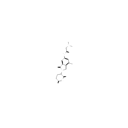 CN(C)CC(=O)Nc1cc(I)c2c(c1)C(=O)N(C1CCC(=O)NC1=O)C2